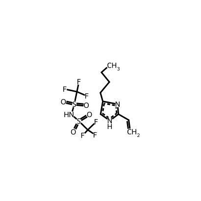 C=Cc1nc(CCCC)c[nH]1.O=S(=O)(NS(=O)(=O)C(F)(F)F)C(F)(F)F